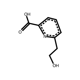 O=C(O)c1cccc(CCO)n1